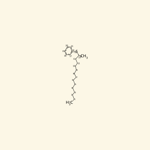 CCCCCCCCCCCCC[C](C)Sc1ccccc1